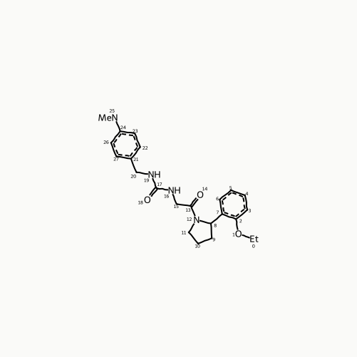 CCOc1ccccc1C1CCCN1C(=O)CNC(=O)NCc1ccc(NC)cc1